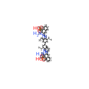 CCc1cc(-c2cc(CC)c(/N=N/c3cc4ccccc4c(S(=O)(=O)O)c3N)c(CC)c2)cc(CC)c1/N=N/c1cc2ccccc2c(S(=O)(=O)O)c1N